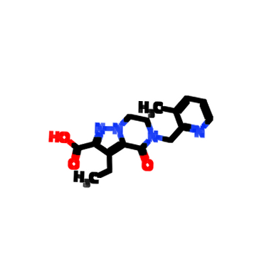 CCc1c(C(=O)O)nn2c1C(=O)N(Cc1ncccc1C)CC2